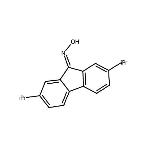 CC(C)c1ccc2c(c1)C(=NO)c1cc(C(C)C)ccc1-2